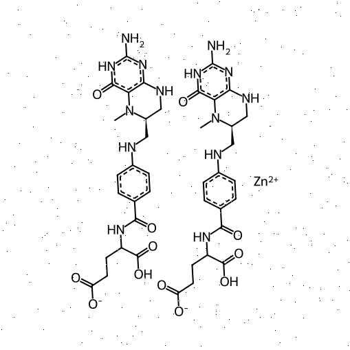 CN1c2c(nc(N)[nH]c2=O)NC[C@H]1CNc1ccc(C(=O)NC(CCC(=O)[O-])C(=O)O)cc1.CN1c2c(nc(N)[nH]c2=O)NC[C@H]1CNc1ccc(C(=O)NC(CCC(=O)[O-])C(=O)O)cc1.[Zn+2]